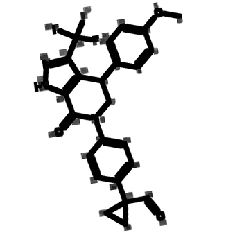 COc1ccc(C2CN(c3ccc(C4(C=O)CC4)cc3)C(=O)c3[nH]nc(C(F)(F)F)c32)cc1